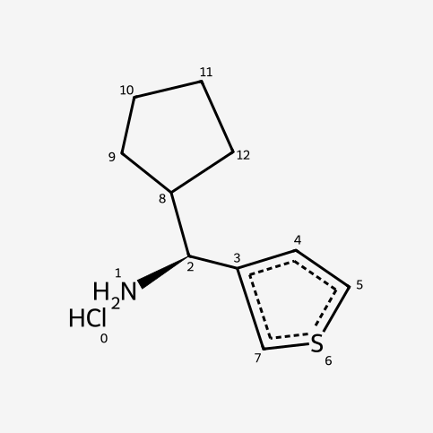 Cl.N[C@H](c1ccsc1)C1CCCC1